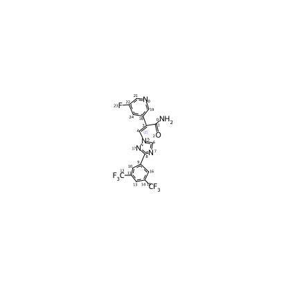 NC(=O)/C(=C\n1cnc(-c2cc(C(F)(F)F)cc(C(F)(F)F)c2)n1)c1cncc(F)c1